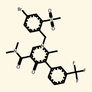 Cc1c(-c2cccc(C(F)(F)F)c2)c(=O)c(C(=O)N(C)C)cn1Cc1ccc(Br)cc1S(C)(=O)=O